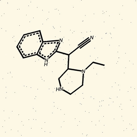 CCN1CCNCC1C(C#N)c1nc2ccccc2[nH]1